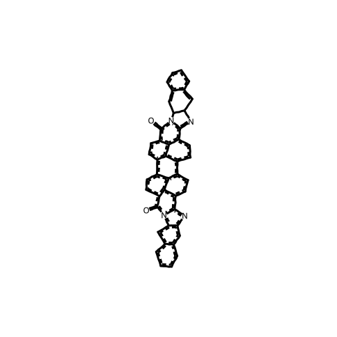 O=c1c2ccc3c4ccc5c(=O)n6c7cc8ccccc8cc7nc6c6ccc(c7ccc(c8n1C1C=c9ccccc9=CC1N=8)c2c37)c4c56